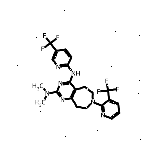 CN(C)c1nc2c(c(Nc3ccc(C(F)(F)F)cn3)n1)CCN(c1ncccc1C(F)(F)F)CC2